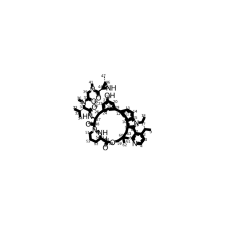 CCc1ccncc1-c1c2c3cc(ccc3n1CC)-c1cc(O)cc(c1)C[C@H](NC(=O)[C@H](C(C)C)N(C)C(=O)CN(C)C(=O)[C@@H]1N[C@H]1C)C(=O)N1CCC[C@H](N1)C(=O)OCC(C)(C)C2